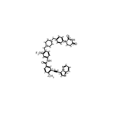 Cc1ccc(C(=O)Nc2ccc(CN3CCN(Cc4ccc(N5CCC(=O)NC5=O)cc4)CC3)c(C(F)(F)F)c2)cc1C#Cc1cnc2cccnn12